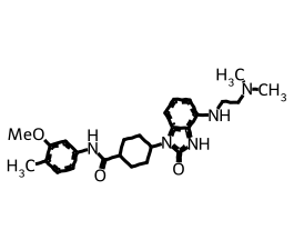 COc1cc(NC(=O)C2CCC(n3c(=O)[nH]c4c(NCCN(C)C)cccc43)CC2)ccc1C